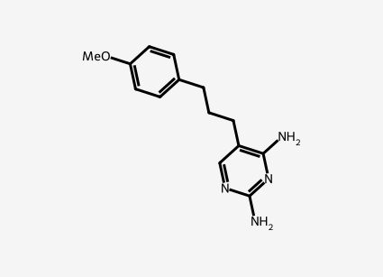 COc1ccc(CCCc2cnc(N)nc2N)cc1